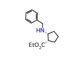 CCOC(=O)[C@H]1CCC[C@H]1NCc1ccccc1